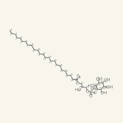 CCCCCCCCCCCCCCCCCCCCCCCCC(=O)OCC(O)COP(=O)(O)OC1C(O)C(O)C(O)C(O)C1O